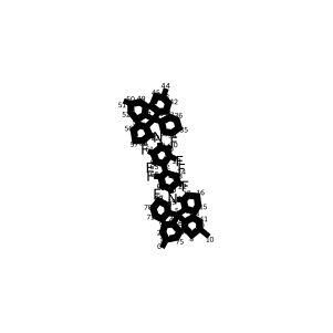 Cc1ccc(C2(c3ccc(C)cc3)c3ccccc3N(c3c(F)c(F)c(-c4c(F)c(F)c(N5c6ccccc6C(c6ccc(C)cc6)(c6ccc(C)cc6)c6ccccc65)c(F)c4F)c(F)c3F)c3ccccc32)cc1